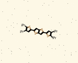 CC(C)c1cc(-c2cc3sc(-c4cc(C(C)C)c(C(C)C)s4)cc3s2)sc1C(C)C